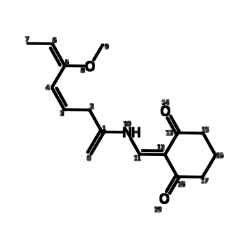 C=C(C/C=C\C(=C/C)OC)NC=C1C(=O)CCCC1=O